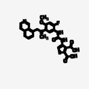 COc1cc(F)c(NC(=O)Nc2csc(C(=O)O)c2C(=O)O)cc1N(C)Cc1cccc2ccncc12